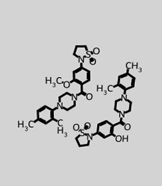 COc1cc(N2CCCS2(=O)=O)ccc1C(=O)N1CCN(c2ccc(C)cc2C)CC1.Cc1ccc(N2CCN(C(=O)c3ccc(N4CCCS4(=O)=O)cc3O)CC2)c(C)c1